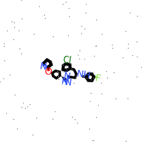 Fc1ccc(CN[C@H]2Cc3cc(Cl)ccc3-n3c(nnc3[C@H]3CC[C@H](Oc4ccccn4)CC3)C2)cc1